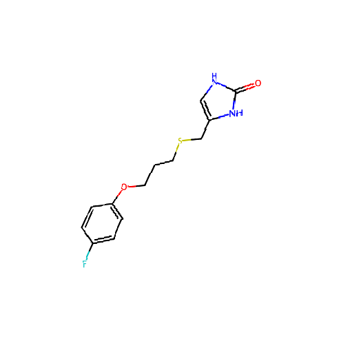 O=c1[nH]cc(CSCCCOc2ccc(F)cc2)[nH]1